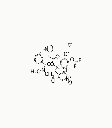 CN(C)C(=O)c1cccc(CN2CCCC2CC(=O)O[C@@H](Cc2c(Cl)c[n+]([O-])cc2Cl)c2ccc(OC(F)F)c(OCC3CC3)c2)c1